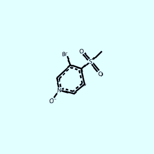 CS(=O)(=O)c1cc[n+]([O-])cc1Br